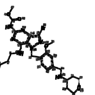 CCCCNc1nc(NC(=O)OC)nc2c(Br)nn(Cc3ccc(CNC4CCOCC4)cc3OC)c12